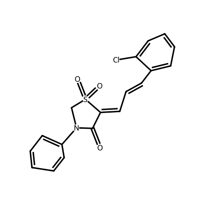 O=C1/C(=C/C=C/c2ccccc2Cl)S(=O)(=O)CN1c1ccccc1